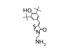 CC(C)(C)c1cc(/C=C2\SCN(CCN)C2=O)cc(C(C)(C)C)c1O